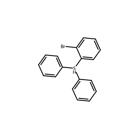 Brc1ccccc1[SH](c1ccccc1)c1ccccc1